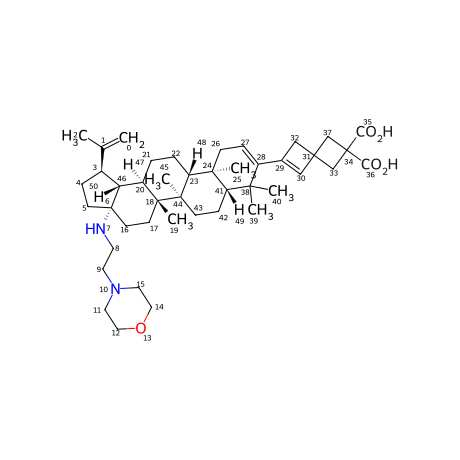 C=C(C)[C@@H]1CC[C@]2(NCCN3CCOCC3)CC[C@]3(C)[C@H](CC[C@@H]4[C@@]5(C)CC=C(C6=CC7(C6)CC(C(=O)O)(C(=O)O)C7)C(C)(C)[C@@H]5CC[C@]43C)[C@@H]12